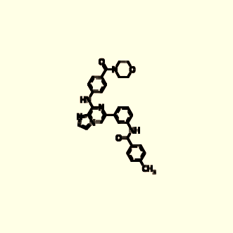 Cc1ccc(C(=O)Nc2cccc(-c3cn4ccnc4c(Nc4ccc(C(=O)N5CCOCC5)cc4)n3)c2)cc1